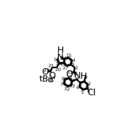 Cc1cc(Cl)ccc1C(NC(=O)Cc1ccc2[nH]cc(CCC(=O)OC(C)(C)C)c2c1)c1ccccc1